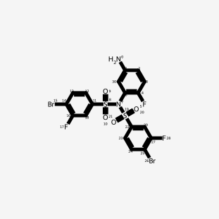 Nc1ccc(F)c(N(S(=O)(=O)c2ccc(Br)c(F)c2)S(=O)(=O)c2ccc(Br)c(F)c2)c1